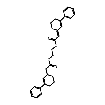 O=C(C=C1C=C(c2ccccc2)CCC1)OCCOC(=O)CC1C=C(c2ccccc2)CCC1